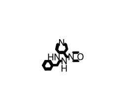 C1=CC2=C(CC=N1)C(N1CCOCC1)NC(Cc1ccccc1)N2